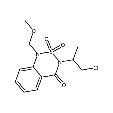 COCN1c2ccccc2C(=O)N(C(C)CCl)S1(=O)=O